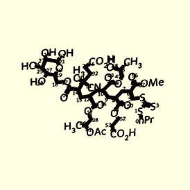 CCCSC(=S)SCC(CC(CC(CC(CC(C(=O)OCC1OC(O)C(O)C(O)C1O)C(C)(C#N)CCC(=O)O)C(=O)OCC(C)OC(C)=O)C(=O)OCC(C)O)C(=O)OCCC(=O)O)C(=O)OC